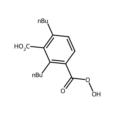 CCCCc1ccc(C(=O)OO)c(CCCC)c1C(=O)O